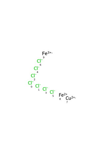 [Cl-].[Cl-].[Cl-].[Cl-].[Cl-].[Cl-].[Cl-].[Cu+2].[Fe+2].[Fe+3]